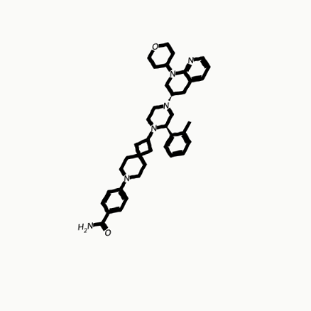 Cc1ccccc1[C@@H]1CN([C@H]2Cc3cccnc3N(C3CCOCC3)C2)CCN1C1CC2(CCN(c3ccc(C(N)=O)cc3)CC2)C1